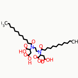 CCCCCCCCCCCC(=O)N(CCN(C(=O)CCCCCCCCCCC)C(CC(=O)O)C(=O)O)C(CC(=O)O)C(=O)O